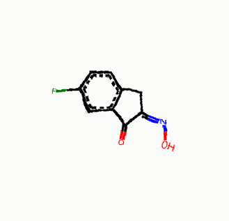 O=C1C(=NO)Cc2ccc(F)cc21